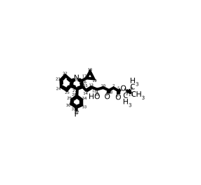 CC(C)(C)OC(=O)CC(=O)C[C@H](O)/C=C/c1c(C2CC2)nc2ccccc2c1-c1ccc(F)cc1